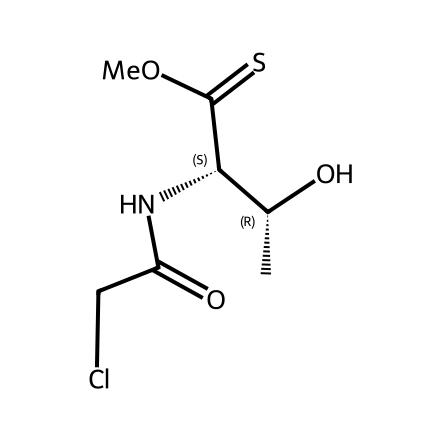 COC(=S)[C@@H](NC(=O)CCl)[C@@H](C)O